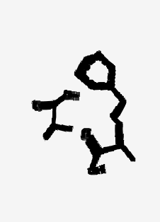 C=C(C)C(=O)O.CC(=CC=Cc1ccccc1)C(=O)O